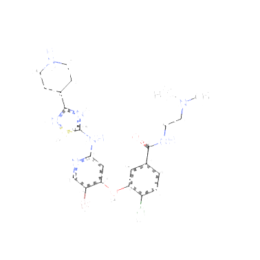 CN(C)CCNC(=O)c1ccc(Cl)c(Oc2cc(Nc3nc(C4CCNCC4)ns3)ncc2Br)c1